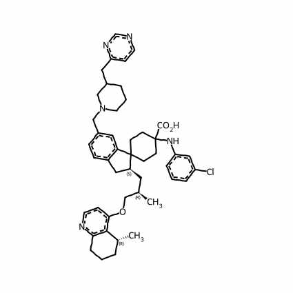 C[C@@H](COc1ccnc2c1[C@H](C)CCC2)C[C@H]1Cc2ccc(CN3CCCC(Cc4ccncn4)C3)cc2C12CCC(Nc1cccc(Cl)c1)(C(=O)O)CC2